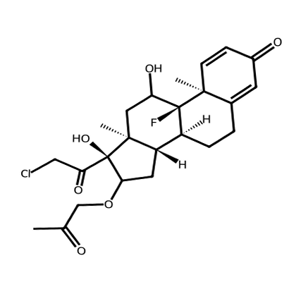 CC(=O)COC1C[C@H]2[C@@H]3CCC4=CC(=O)C=C[C@]4(C)[C@@]3(F)C(O)C[C@]2(C)[C@@]1(O)C(=O)CCl